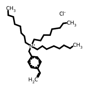 C=Cc1ccc(C[N+](CCCCCCCC)(CCCCCCCC)CCCCCCCC)cc1.[Cl-]